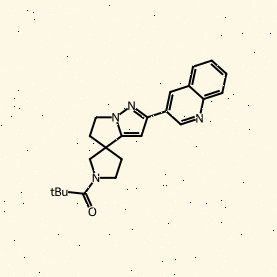 CC(C)(C)C(=O)N1CCC2(CCn3nc(-c4cnc5ccccc5c4)cc32)C1